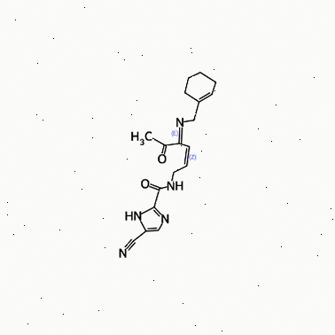 CC(=O)C(/C=C\CNC(=O)c1ncc(C#N)[nH]1)=N/CC1=CCCCC1